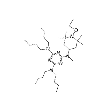 CCCCN(CCCC)c1nc(N(CCCC)CCCC)nc(N(C)C2CC(C)(C)N(OCC)C(C)(C)C2)n1